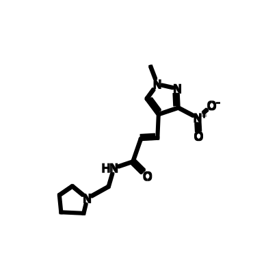 Cn1cc(/C=C/C(=O)NCN2CCCC2)c([N+](=O)[O-])n1